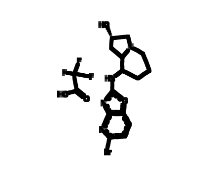 O=C(O)C(F)(F)F.O[C@H]1CC2C(Nc3nc4nc(Br)ccc4o3)CCCN2C1